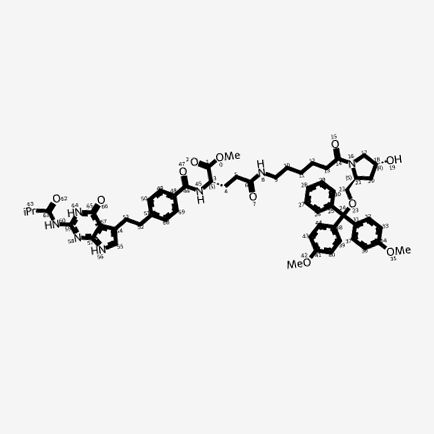 COC(=O)[C@H](CCC(=O)NCCCCCC(=O)N1C[C@H](O)C[C@H]1COC(c1ccccc1)(c1ccc(OC)cc1)c1ccc(OC)cc1)NC(=O)c1ccc(CCc2c[nH]c3nc(NC(=O)C(C)C)[nH]c(=O)c23)cc1